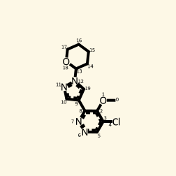 COc1c(Cl)cnnc1-c1cnn(C2CCCCO2)c1